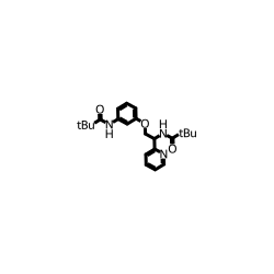 CC(C)(C)C(=O)Nc1cccc(OCC(NC(=O)C(C)(C)C)c2ccccn2)c1